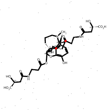 CN1CCC[C@]23c4c5ccc(O)c4O[C@H]2C(OC(=O)CCNC(=O)C[C@H](O)C(=O)O)=CC[C@@]3(CC(=O)CCNC(=O)C[C@H](O)C(=O)O)[C@H]1C5